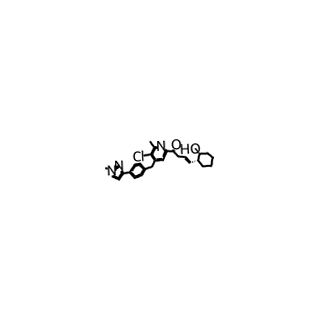 Cc1nc(C(=O)C/C=C/[C@H]2CCCC[C@@H]2O)cc(Cc2ccc(-c3ccn(C)n3)cc2)c1Cl